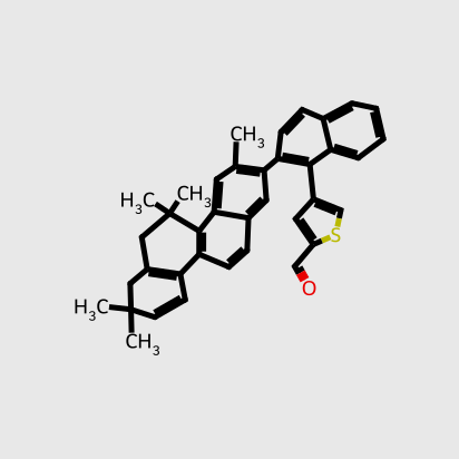 Cc1cc2c3c(ccc2cc1-c1ccc2ccccc2c1-c1csc(C=O)c1)C1=C(CC(C)(C)C=C1)CC3(C)C